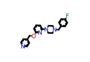 Fc1ccc(CN2CCN(c3cccc(OCc4ccncc4)n3)CC2)cc1